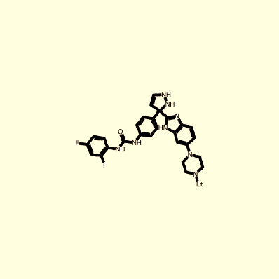 CCN1CCN(c2ccc3nc(C4(c5ccc(NC(=O)Nc6ccc(F)cc6F)cc5)C=CNN4)[nH]c3c2)CC1